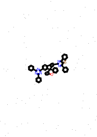 c1ccc(-c2nc(-c3ccccc3)nc(-c3ccc4c(c3)C3(c5ccccc5Oc5ccccc53)c3cc(-c5nc(-c6ccccc6)c6sc7ccccc7c6n5)ccc3-4)n2)cc1